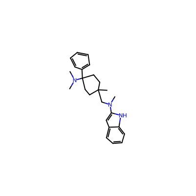 CN(CC1(C)CCC(c2ccccc2)(N(C)C)CC1)c1cc2ccccc2[nH]1